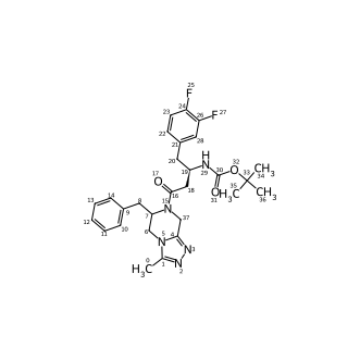 Cc1nnc2n1CC(Cc1ccccc1)N(C(=O)C[C@@H](Cc1ccc(F)c(F)c1)NC(=O)OC(C)(C)C)C2